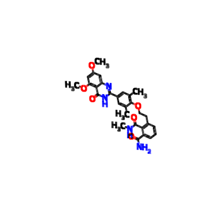 CNC(=O)c1c(CCOc2c(C)cc(-c3nc4cc(OC)cc(OC)c4c(=O)[nH]3)cc2C)cccc1C(N)=O